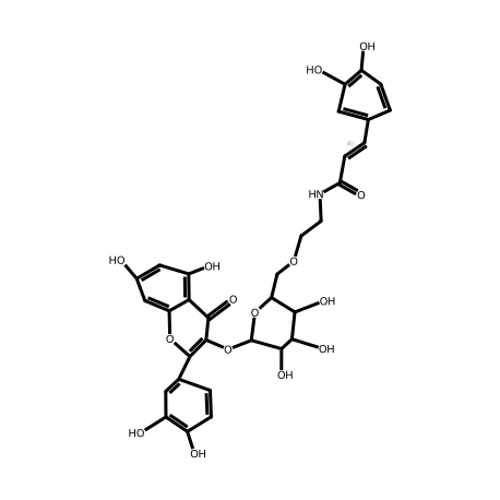 O=C(/C=C/c1ccc(O)c(O)c1)NCCOCC1OC(Oc2c(-c3ccc(O)c(O)c3)oc3cc(O)cc(O)c3c2=O)C(O)C(O)C1O